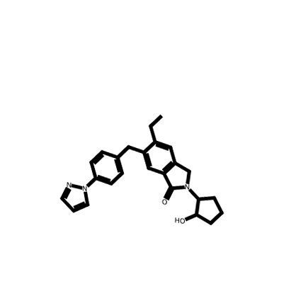 CCc1cc2c(cc1Cc1ccc(-n3cccn3)cc1)C(=O)N(C1CCCC1O)C2